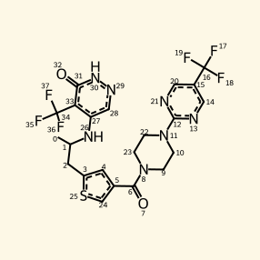 CC(Cc1cc(C(=O)N2CCN(c3ncc(C(F)(F)F)cn3)CC2)cs1)Nc1cn[nH]c(=O)c1C(F)(F)F